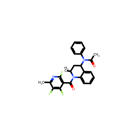 CC(=O)N(c1ccccc1)C1CC(C)N(C(=O)c2c(F)nc(C)c(F)c2F)c2ccccc21